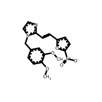 COc1ccc(Cn2ccnc2C=Cc2ccc([N+](=O)[O-])o2)cc1OC